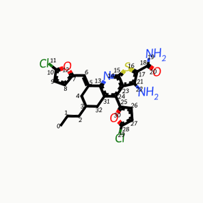 CCCC1C/C(=C\c2ccc(Cl)o2)c2nc3sc(C(N)=O)c(N)c3c(-c3ccc(Cl)o3)c2C1